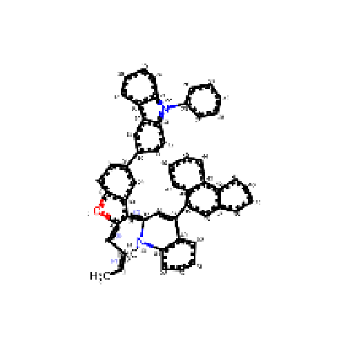 C\C=C/C=c1/oc2ccc(-c3ccc4c(c3)c3ccccc3n4-c3ccccc3)cc2/c1=C1\C=C(c2cc3ccccc3c3ccccc23)c2ccccc2N1C